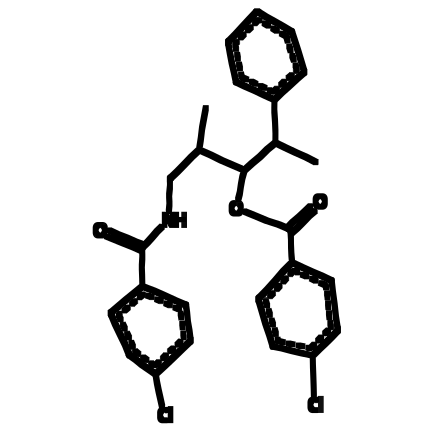 CC(CNC(=O)c1ccc(Cl)cc1)C(OC(=O)c1ccc(Cl)cc1)C(C)c1ccccc1